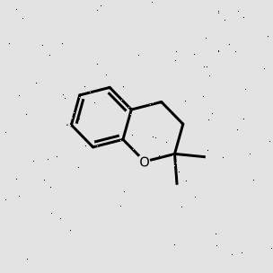 CC1(C)CCc2cc[c]cc2O1